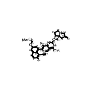 C#Cc1c(F)ccc2cc(OCOC)cc(-c3ncc4c(O)nc(OC[C@@]56CCCN5CC(=C)C6)nc4c3F)c12